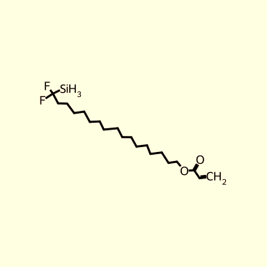 C=CC(=O)OCCCCCCCCCCCCCCCCC(F)(F)[SiH3]